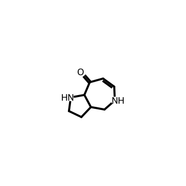 O=C1C=CNCC2CCNC12